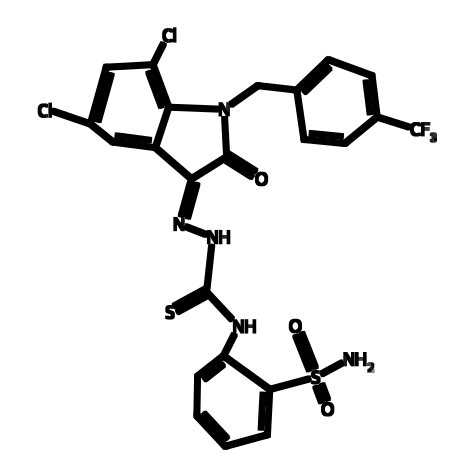 NS(=O)(=O)c1ccccc1NC(=S)NN=C1C(=O)N(Cc2ccc(C(F)(F)F)cc2)c2c(Cl)cc(Cl)cc21